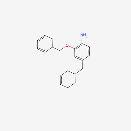 Nc1ccc(CC2CC=CCC2)cc1OCc1ccccc1